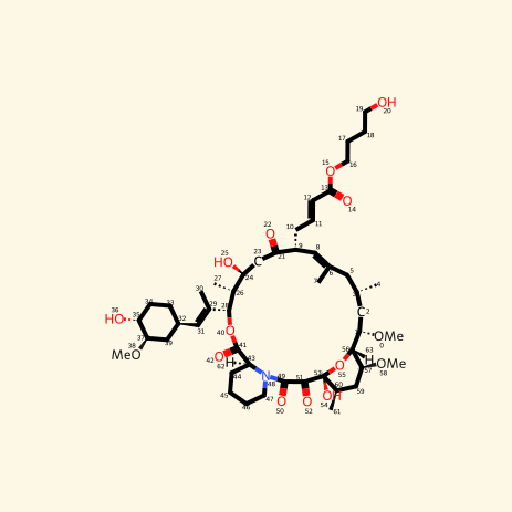 CO[C@H]1C[C@@H](C)C/C(C)=C/[C@@H](C/C=C/C(=O)OCCCCO)C(=O)C[C@H](O)[C@@H](C)[C@@H](/C(C)=C/[C@@H]2CC[C@@H](O)[C@H](OC)C2)OC(=O)[C@@H]2CCCCN2C(=O)C(=O)[C@]2(O)O[C@H]1[C@@H](OC)C[C@H]2C